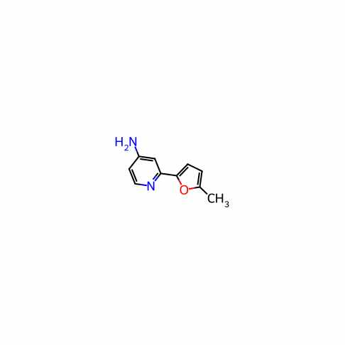 Cc1ccc(-c2cc(N)ccn2)o1